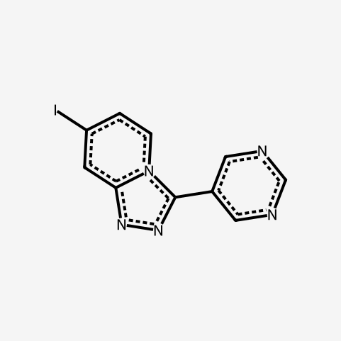 Ic1ccn2c(-c3cncnc3)nnc2c1